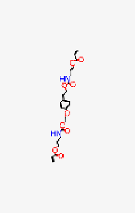 C=CC(=O)OCCCNC(=O)OCCOc1ccc(CCOC(=O)NCCCOC(=O)C=C)cc1